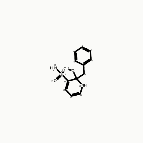 COC1(Cc2ccccc2)NC=CC=C1S(N)(=O)=O